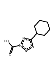 O=C(O)n1nnc(C2CCCCC2)n1